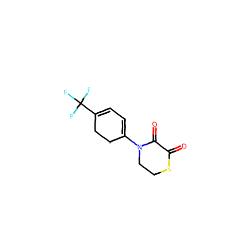 O=C1SCCN(C2=CC=C(C(F)(F)F)C[CH]2)C1=O